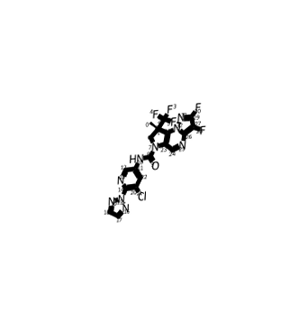 C[C@]1(C(F)(F)F)CN(C(=O)Nc2cnc(-n3nccn3)c(Cl)c2)c2cnc3c(F)c(F)nn3c21